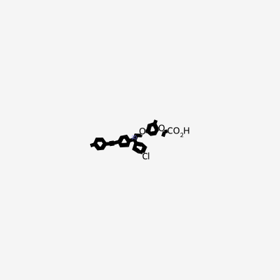 Cc1ccc(C#Cc2ccc(/C(=C/COc3ccc(OC(C)C(=O)O)c(C)c3)c3ccc(Cl)cc3)cc2)cc1